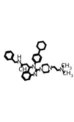 C=C(CC1c2ccccc2N=C(N2CCN(CCN(C)C)CC2)N1c1ccc(C2CCCCC2)cc1)NCc1ccccc1